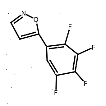 Fc1cc(-c2ccno2)c(F)c(F)c1F